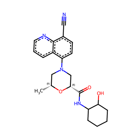 C[C@@H]1CN(c2ccc(C#N)c3ncccc23)C[C@H](C(=O)NC2CCCCC2O)O1